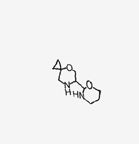 C1CNC(C2COC3(CC3)CN2)OC1